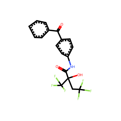 O=C(c1ccccc1)c1ccc(NC(=O)C(O)(CC(F)(F)F)C(F)(F)F)cc1